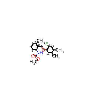 COC(=O)Nc1cccc(C)c1COc1cc(C)c(C)cc1F